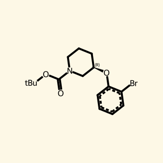 CC(C)(C)OC(=O)N1CCC[C@@H](Oc2ccccc2Br)C1